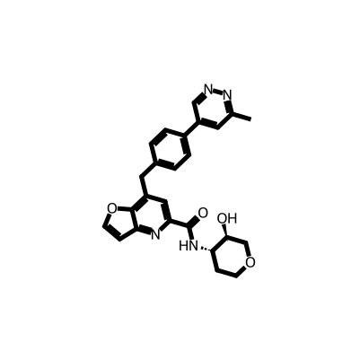 Cc1cc(-c2ccc(Cc3cc(C(=O)N[C@H]4CCOC[C@@H]4O)nc4ccoc34)cc2)cnn1